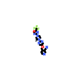 C[C@@H]1CN(c2noc(C(F)(F)F)n2)CCN1c1ncc(OCc2ccncc2C#N)cn1